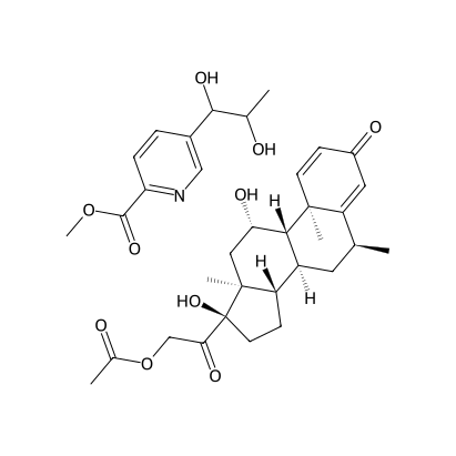 CC(=O)OCC(=O)[C@@]1(O)CC[C@H]2[C@@H]3C[C@H](C)C4=CC(=O)C=C[C@]4(C)[C@H]3[C@@H](O)C[C@@]21C.COC(=O)c1ccc(C(O)C(C)O)cn1